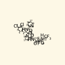 O=C(NC(Cc1ccc(Cl)c(Cl)c1)C(=O)N1CCCC1C(=O)NCC(=O)C(F)(F)C(=O)NCC(F)(F)F)c1ccccn1